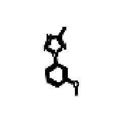 COc1cccc(-n2nnc(C)n2)c1